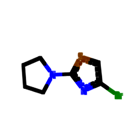 Brc1csc(N2CCCC2)n1